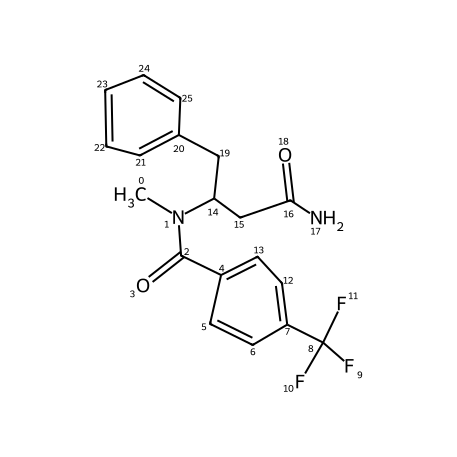 CN(C(=O)c1ccc(C(F)(F)F)cc1)C(CC(N)=O)Cc1ccccc1